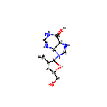 CC1CC(CO)OC1N1C=NC2C(=O)NC=NC21